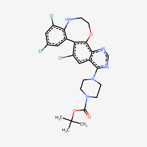 CC(C)(C)OC(=O)N1CCN(c2ncnc3c4c(c(Cl)cc23)-c2cc(Cl)cc(Cl)c2NCCO4)CC1